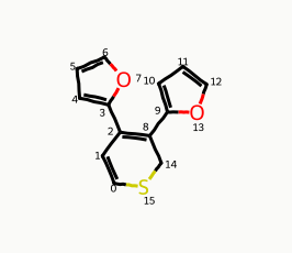 C1=CC(c2ccco2)=C(c2ccco2)CS1